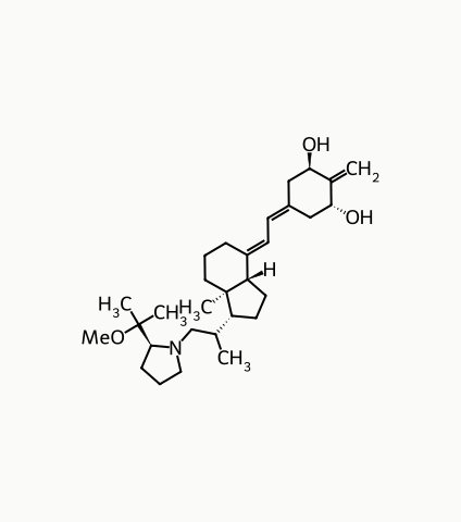 C=C1[C@H](O)CC(=C/C=C2\CCC[C@]3(C)[C@@H](C(C)CN4CCC[C@H]4C(C)(C)OC)CC[C@@H]23)C[C@H]1O